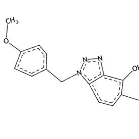 COc1ccc(Cn2nnc3c(O)c(Cl)ccc32)cc1